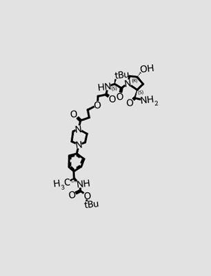 C[C@H](NC(=O)OC(C)(C)C)c1ccc(N2CCN(C(=O)CCOCC(=O)N[C@H](C(=O)N3C[C@H](O)C[C@H]3C(N)=O)C(C)(C)C)CC2)cc1